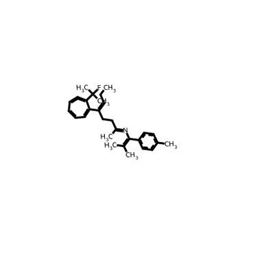 CC/C=C(/CC/C(C)=N/C(=C(C)C)c1ccc(C)cc1)C1=CC=CC=C=C1C(C)(C)F